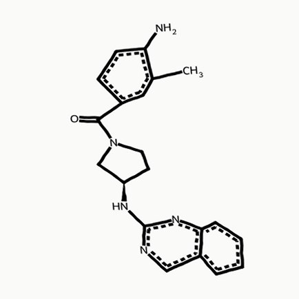 Cc1cc(C(=O)N2CC[C@@H](Nc3ncc4ccccc4n3)C2)ccc1N